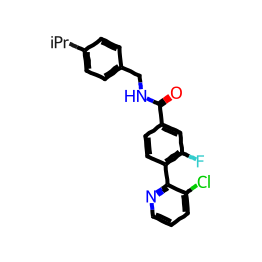 CC(C)c1ccc(CNC(=O)c2ccc(-c3ncccc3Cl)c(F)c2)cc1